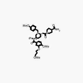 COCCCOc1cc(C(=O)N(C(C)C)[C@@H]2CC[C@@H](CC(=O)N3CCC(C(N)=O)CC3)N(Cc3ccc(OC)cc3)C2)ccc1OC